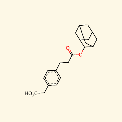 O=C(O)Cc1ccc(CCC(=O)OC2C3CC4CC(C3)CC2C4)cc1